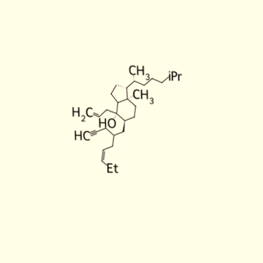 C#CCC(C/C=C\CC)C[C@@H]1CC[C@@]2(C)C(CC[C@@H]2[C@H](C)CCCC(C)C)[C@]1(O)CC=C